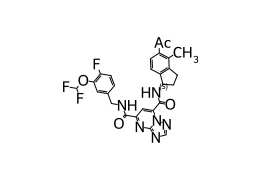 CC(=O)c1ccc2c(c1C)CC[C@@H]2NC(=O)c1cc(C(=O)NCc2ccc(F)c(OC(F)F)c2)nc2ncnn12